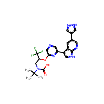 CC(C)(C)N(CC(Oc1cncc(-c2c[nH]c3ncc(-c4cn[nH]c4)cc23)n1)C(F)(F)F)C(=O)O